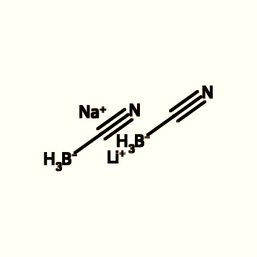 [BH3-]C#N.[BH3-]C#N.[Li+].[Na+]